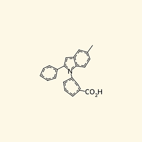 Cc1ccc2c(c1)cc(-c1ccccc1)n2-c1cccc(C(=O)O)c1